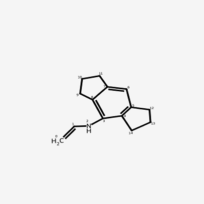 C=CNc1c2c(cc3c1CCC3)CCC2